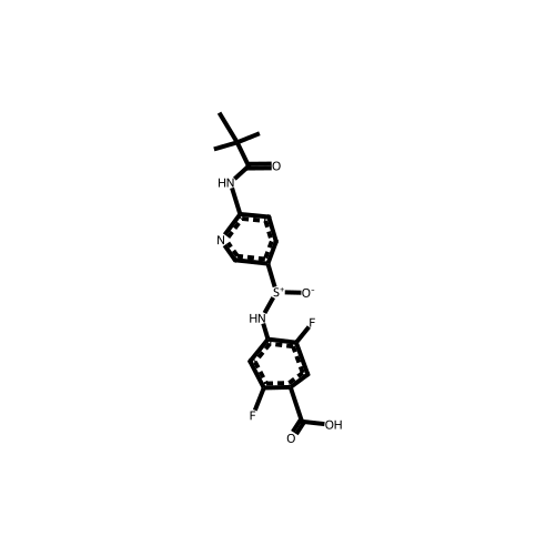 CC(C)(C)C(=O)Nc1ccc([S+]([O-])Nc2cc(F)c(C(=O)O)cc2F)cn1